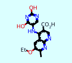 CCOc1cc2c(Nc3cnc(O)nc3O)c(C(=O)O)cnc2nc1C